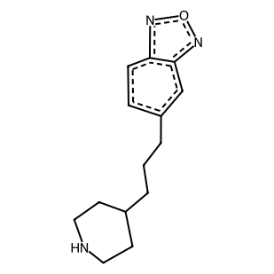 c1cc2nonc2cc1CCCC1CCNCC1